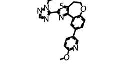 COc1ccc(-c2ccc3c(c2)-c2nc(-c4ncnn4C(C)C)sc2CCO3)cn1